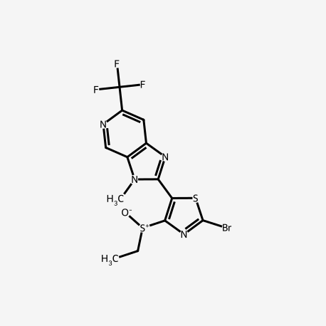 CC[S+]([O-])c1nc(Br)sc1-c1nc2cc(C(F)(F)F)ncc2n1C